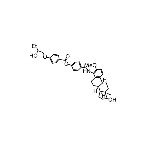 CCC(O)COc1ccc(C(=O)Oc2ccc(CNc3c(OC)ccc4c3CC[C@@H]3[C@@H]4CC[C@]4(C)[C@H](O)CC[C@@H]34)cc2)cc1